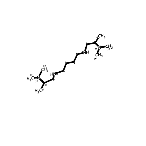 CC(CNCCCCNCC(C)N(C)C)N(C)C